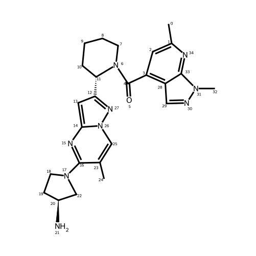 Cc1cc(C(=O)N2CCCC[C@H]2c2cc3nc(N4CC[C@H](N)C4)c(C)cn3n2)c2cnn(C)c2n1